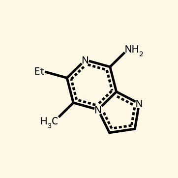 CCc1nc(N)c2nccn2c1C